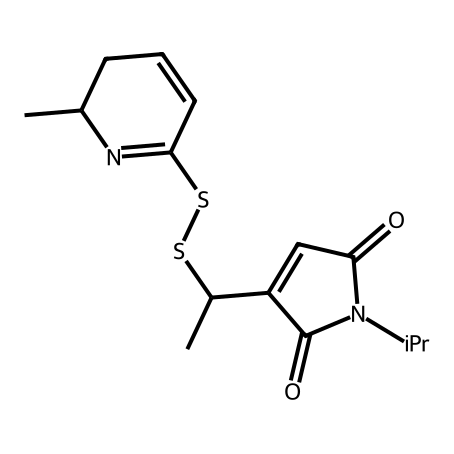 CC1CC=CC(SSC(C)C2=CC(=O)N(C(C)C)C2=O)=N1